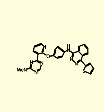 CNc1ncnc(-c2cccnc2Oc2ccc(Nc3nnc(-c4cccs4)c4ccccc34)cc2)n1